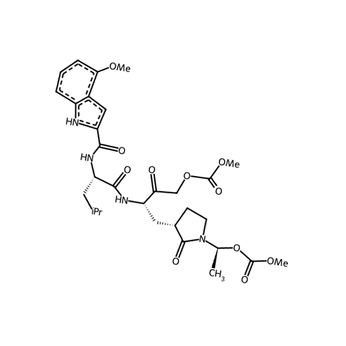 COC(=O)OCC(=O)[C@H](C[C@@H]1CCN([C@H](C)OC(=O)OC)C1=O)NC(=O)[C@H](CC(C)C)NC(=O)c1cc2c(OC)cccc2[nH]1